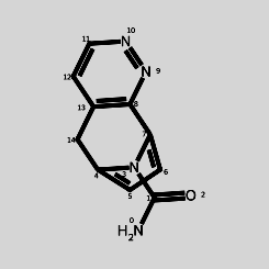 NC(=O)n1c2ccc1-c1nnccc1C2